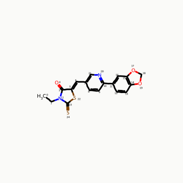 CCN1C(=O)/C(=C/c2ccc(-c3ccc4c(c3)OCO4)nc2)SC1=S